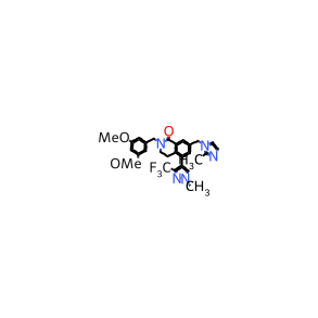 COc1cc(CN2CCc3c(cc(Cn4ccnc4C)cc3-c3cn(C)nc3C(F)(F)F)C2=O)cc(OC)c1